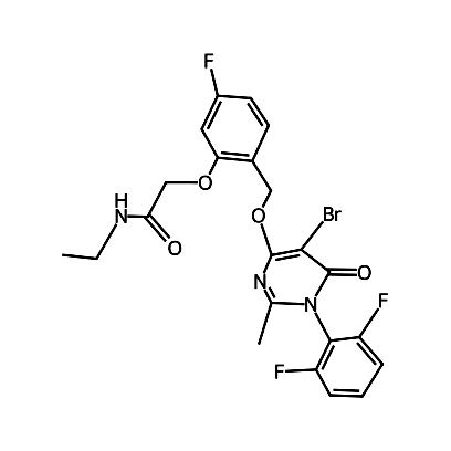 CCNC(=O)COc1cc(F)ccc1COc1nc(C)n(-c2c(F)cccc2F)c(=O)c1Br